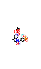 CC(Cc1nc(-c2ccc(S(C)(=O)=O)c(F)c2)no1)C1CCN(OC(=O)OC(C)(C)C)CC1